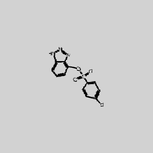 O=S(=O)(Oc1cccc2[nH]nnc12)c1ccc(Cl)cc1